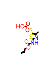 C=CCOC(=O)Nc1nc(C)c(SOC(=O)O)s1